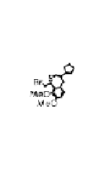 COc1ccc2c(c1OC)C(CBr)SCC(C1CCCC1)C2